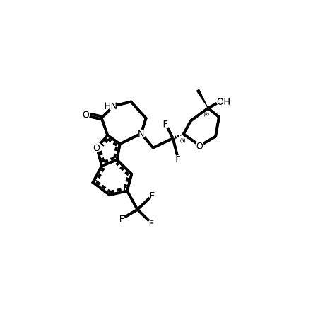 C[C@@]1(O)CCO[C@H](C(F)(F)CN2CCNC(=O)c3oc4ccc(C(F)(F)F)cc4c32)C1